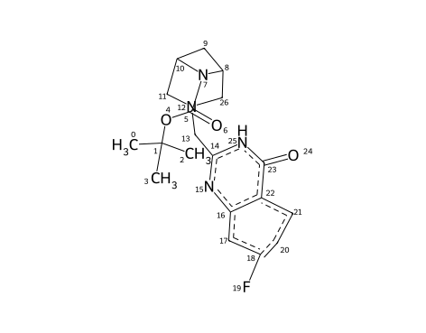 CC(C)(C)OC(=O)N1C2CC1CN(Cc1nc3cc(F)ccc3c(=O)[nH]1)C2